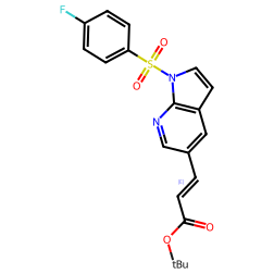 CC(C)(C)OC(=O)/C=C/c1cnc2c(ccn2S(=O)(=O)c2ccc(F)cc2)c1